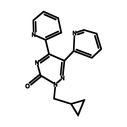 O=c1nc(-c2ccccn2)c(-c2ccccn2)nn1CC1CC1